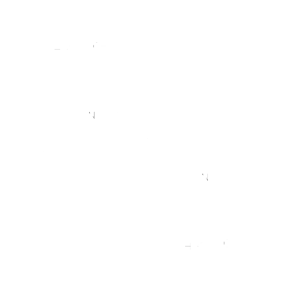 CC(C)c1ccc(N(c2ccc(-c3ccccc3)cc2)c2ccc3c(c2)c2ccccc2c2c4ccc(N(c5ccc(-c6ccccc6)cc5)c5ccc(C(C)C)cc5)cc4c4ccccc4c32)cc1